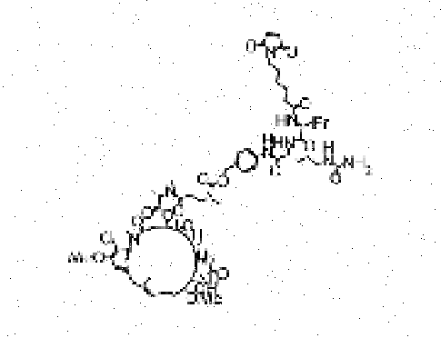 COc1cc2cc(c1Cl)N(C)C(=O)C[C@@H](OC(=O)[C@H](C)N(C)C(=O)CCN(C)C(=O)OCc1ccc(NC(=O)[C@@H](CCCNC(N)=O)NC(=O)C(NC(=O)CCCCCN3C(=O)C=CC3=O)C(C)C)cc1)[C@]1(C)O[C@H]1[C@H](C)[C@@H]1C[C@](O)(NC(=O)O1)[C@H](OC)/C=C/C=C(\C)C2